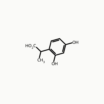 CC(C(=O)O)c1ccc(O)cc1O